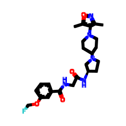 Cc1noc(C)c1N1CCC(N2CC[C@@H](NC(=O)CNC(=O)c3cccc(OCF)c3)C2)CC1